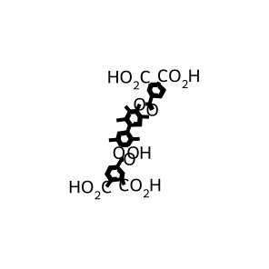 Cc1cc(-c2cc(C)c(OC(=O)c3ccc(C(=O)O)c(C(=O)O)c3)c(O)c2C)c(C)c(C)c1OC(=O)c1ccc(C(=O)O)c(C(=O)O)c1